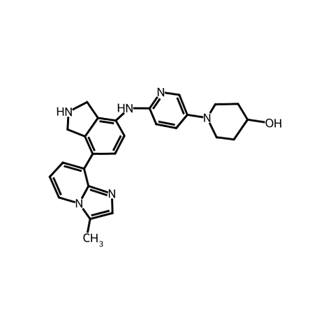 Cc1cnc2c(-c3ccc(Nc4ccc(N5CCC(O)CC5)cn4)c4c3CNC4)cccn12